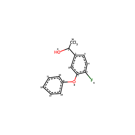 OC(c1ccc(F)c(Oc2ccccc2)c1)C(Cl)(Cl)Cl